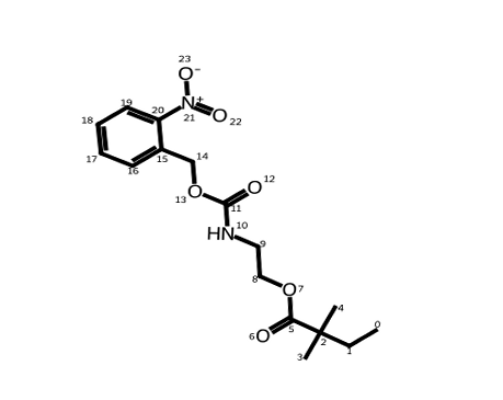 CCC(C)(C)C(=O)OCCNC(=O)OCc1ccccc1[N+](=O)[O-]